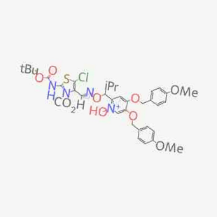 COc1ccc(COc2cc(C(O/N=C(\C(=O)O)c3nc(NC(=O)OC(C)(C)C)sc3Cl)C(C)C)[n+](O)cc2OCc2ccc(OC)cc2)cc1